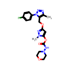 Cc1nnn(-c2ccc(F)cc2)c1COc1cc(OC(=O)NN2CCOCC2)n(C)n1